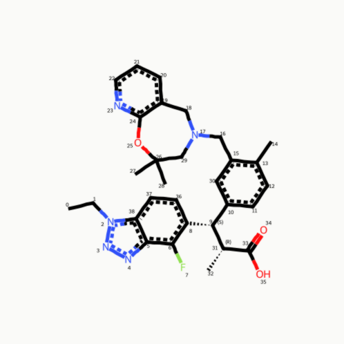 CCn1nnc2c(F)c([C@H](c3ccc(C)c(CN4Cc5cccnc5OC(C)(C)C4)c3)[C@@H](C)C(=O)O)ccc21